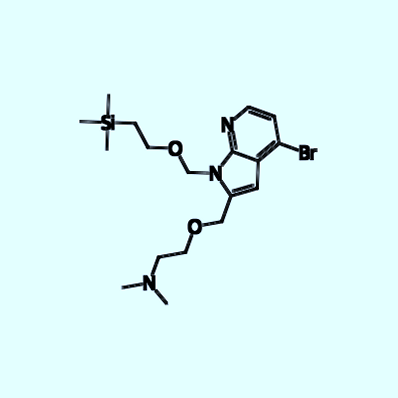 CN(C)CCOCc1cc2c(Br)ccnc2n1COCC[Si](C)(C)C